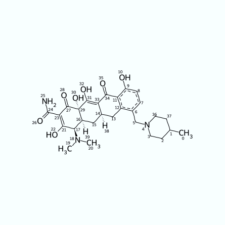 CC1CCN(Cc2ccc(O)c3c2C[C@H]2C[C@H]4[C@@H](N(C)C)C(O)=C(C(N)=O)C(=O)[C@@]4(O)C(O)=C2C3=O)CC1